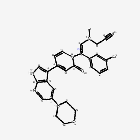 CN(/C=C(\c1cccc(Cl)c1)n1ccc(-c2c[nH]c3ncc(N4CCOCC4)cc23)cc1=O)CC#N